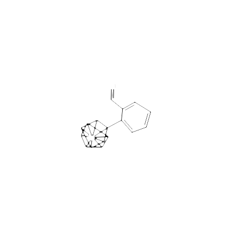 C=Cc1ccccc1[C]12[CH]3[CH]4[CH]5[CH]1[Fe]45321678[CH]2[CH]1[CH]6[CH]7[CH]28